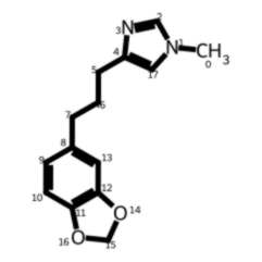 Cn1cnc(C[CH]Cc2ccc3c(c2)OCO3)c1